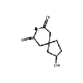 O=C1CC2(CCC(O)C2)CC(=O)N1